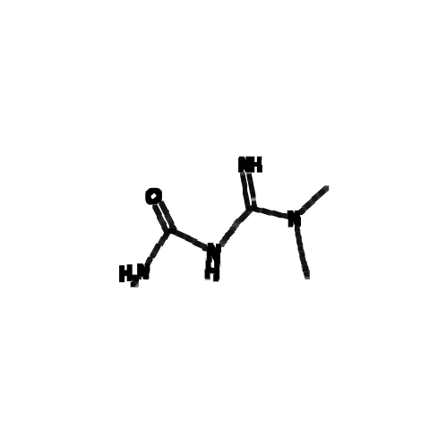 CN(C)C(=N)NC(N)=O